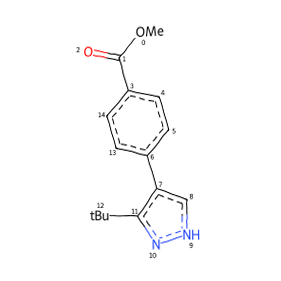 COC(=O)c1ccc(-c2c[nH]nc2C(C)(C)C)cc1